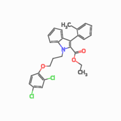 CCOC(=O)c1c(-c2ccccc2C)c2ccccc2n1CCCOc1ccc(Cl)cc1Cl